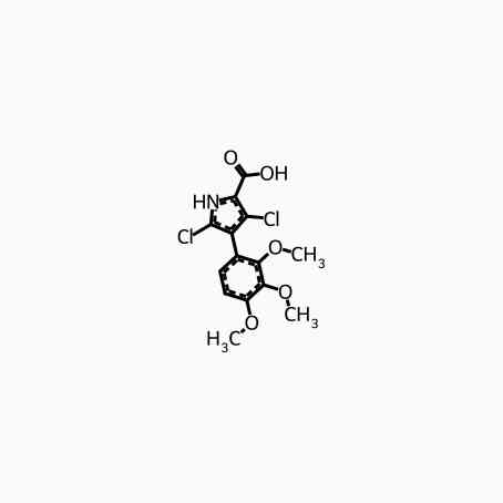 COc1ccc(-c2c(Cl)[nH]c(C(=O)O)c2Cl)c(OC)c1OC